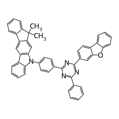 CC1(C)c2ccccc2-c2cc3c4ccccc4n(-c4ccc(-c5nc(-c6ccccc6)nc(-c6ccc7c(c6)oc6ccccc67)n5)cc4)c3cc21